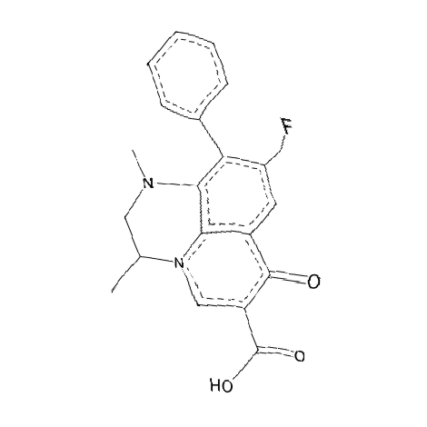 CC1CN(C)c2c(-c3ccccc3)c(F)cc3c(=O)c(C(=O)O)cn1c23